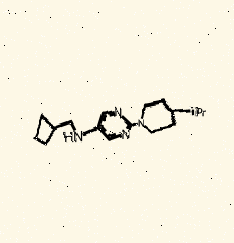 CC(C)C1CCN(c2ncc(NCC3CCC3)cn2)CC1